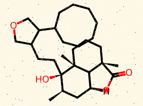 C[C@@H]1C[C@H]2OC(=O)[C@@]3(C)CCC[C@](C)(C23)[C@@]1(O)CCC1COCC1C1CCCCCCC1